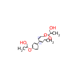 C=C/C=C(\C=C/COC(=O)C(=C)CO)C1=CC=C(OC(=C)CO)C=CC1